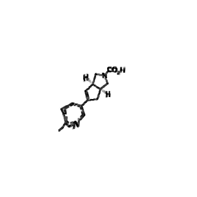 Cc1ccc(C2=C[C@H]3CN(C(=O)O)C[C@H]3C2)cn1